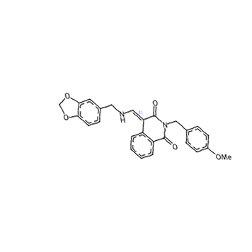 COc1ccc(CN2C(=O)/C(=C/NCc3ccc4c(c3)OCO4)c3ccccc3C2=O)cc1